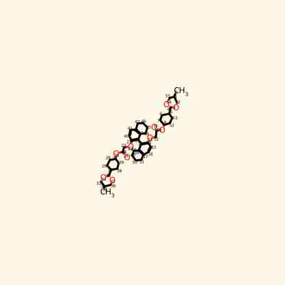 CC1COC(C2CCC(OC(=O)COc3ccc4c(c3-c3c(OCC(=O)OC5CCC(C6OCC(C)CO6)CC5)ccc5c3CCCC5)CCCC4)CC2)OC1